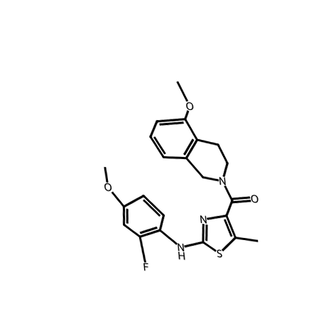 COc1ccc(Nc2nc(C(=O)N3CCc4c(cccc4OC)C3)c(C)s2)c(F)c1